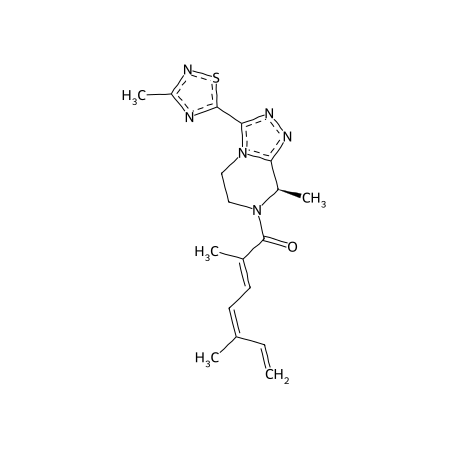 C=C/C(C)=C\C=C(/C)C(=O)N1CCn2c(-c3nc(C)ns3)nnc2[C@H]1C